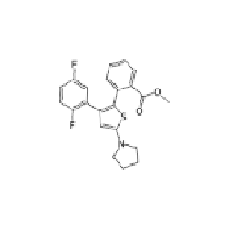 COC(=O)c1ccccc1-c1sc(N2CCCC2)cc1-c1cc(F)ccc1F